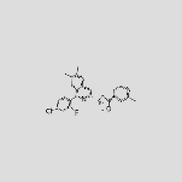 Cc1cc([C@@H]2C[C@@H](c3cc4nc(C)c(C)cc4c(-c4ccc(Cl)cc4F)n3)CCO2)ccn1